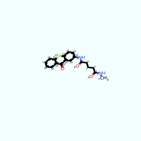 CNC(=O)CCCC(=O)Nc1ccc2sc3ccccc3c(=O)c2c1